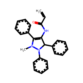 C=CC(=O)NC1=C(c2ccccc2)N(C)N(c2ccccc2)C1c1ccccc1